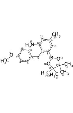 COc1ccc(Cc2c(B3OC(C)(C)C(C)(C)O3)cc(C)nc2N)cc1